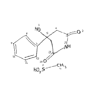 CS(=O)(=O)O.O=C1CC(O)(c2ccccc2)C(=O)N1